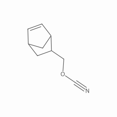 N#COCC1CC2C=CC1C2